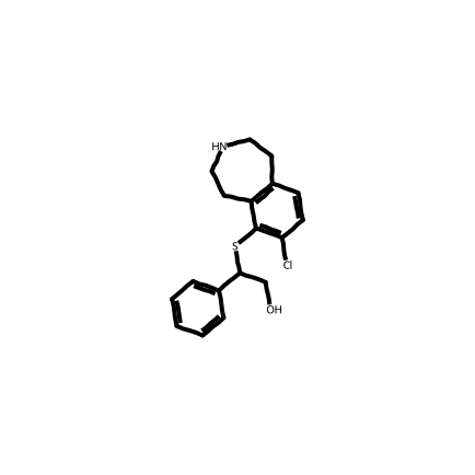 OCC(Sc1c(Cl)ccc2c1CCNCC2)c1ccccc1